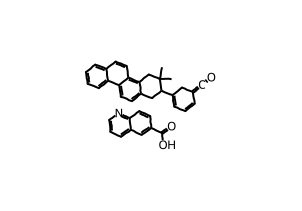 CC1(C)Cc2c(ccc3c2ccc2ccccc23)CC1C1=CC=CC(=C=O)C1.O=C(O)c1ccc2ncccc2c1